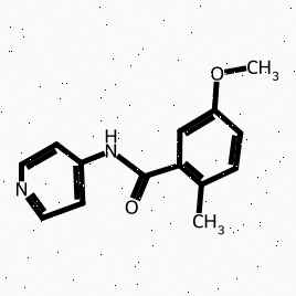 COc1ccc(C)c(C(=O)Nc2ccncc2)c1